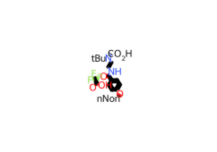 CCCCCCCCCOc1ccc(C(=O)NCCN(C(=O)O)C(C)(C)C)cc1.O=C(O)C(F)(F)F